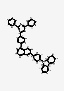 c1ccc(-c2nc(-c3ccccc3)nc(-c3ccc(-c4cccc5cc(-c6ccc(-n7c8ccccc8c8ccccc87)cc6)ccc45)cc3)n2)cc1